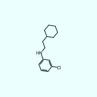 Clc1[c]ccc(NCCC2CCCCC2)c1